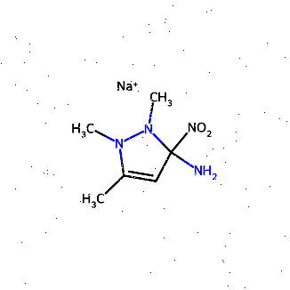 CC1=CC(N)([N+](=O)[O-])N(C)N1C.[Na+]